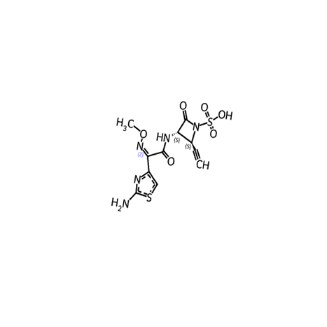 C#C[C@H]1[C@H](NC(=O)/C(=N\OC)c2csc(N)n2)C(=O)N1S(=O)(=O)O